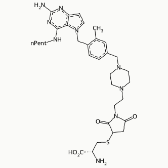 CCCCCNc1nc(N)nc2ccn(Cc3ccc(CN4CCN(CCN5C(=O)CC(SC[C@H](N)C(=O)O)C5=O)CC4)cc3C)c12